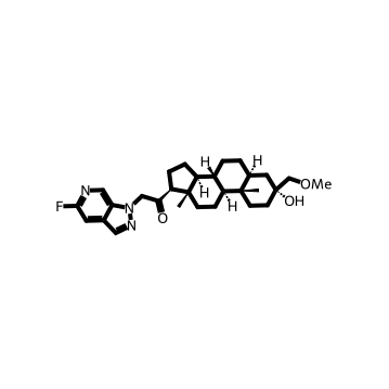 COC[C@@]1(O)CC[C@@]2(C)[C@@H](CC[C@@H]3[C@@H]2CC[C@]2(C)[C@@H](C(=O)Cn4ncc5cc(F)ncc54)CC[C@@H]32)C1